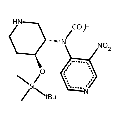 CC(C)(C)[Si](C)(C)O[C@H]1CCNC[C@@H]1N(C(=O)O)c1ccncc1[N+](=O)[O-]